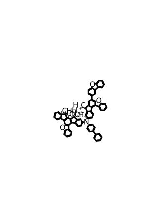 CC1(C)c2cc(N(c3ccc(-c4ccccc4)cc3)c3ccc4c(c3)C(C)(C)c3c5c(c6oc7ccccc7c6c3-4)-c3ccccc3C5(C)C)ccc2-c2c1cc(-c1ccc3oc4ccccc4c3c1)c1oc3ccccc3c21